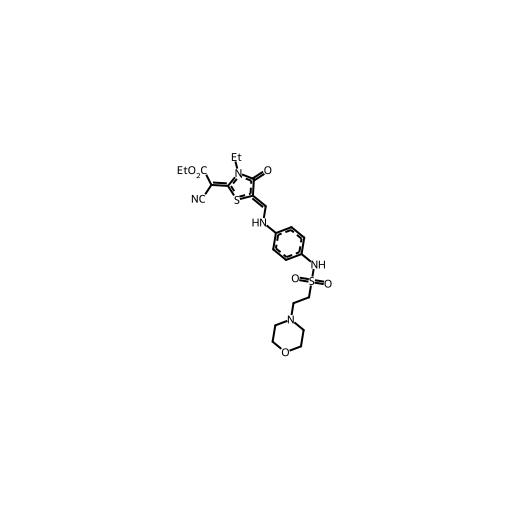 CCOC(=O)C(C#N)=c1sc(=CNc2ccc(NS(=O)(=O)CCN3CCOCC3)cc2)c(=O)n1CC